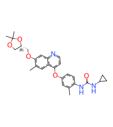 Cc1cc(Oc2ccnc3cc(OC[C@@H]4COC(C)(C)O4)c(C)cc23)ccc1NC(=O)NC1CC1